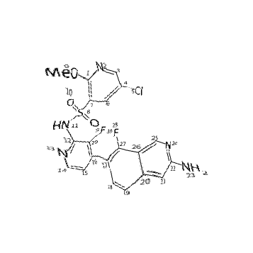 COc1ncc(Cl)cc1S(=O)(=O)Nc1nccc(-c2ccc3cc(N)ncc3c2F)c1F